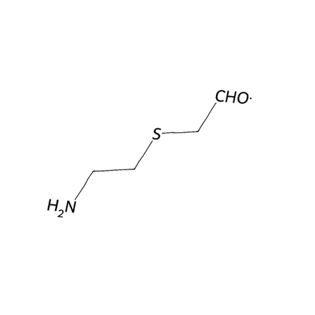 NCCSC[C]=O